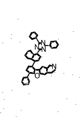 c1ccc(-c2nc(-c3ccccc3)nc(-c3ccc(-c4ccc(-c5ccccc5)c5oc6cc7ccncc7cc6c45)c4ccccc34)n2)cc1